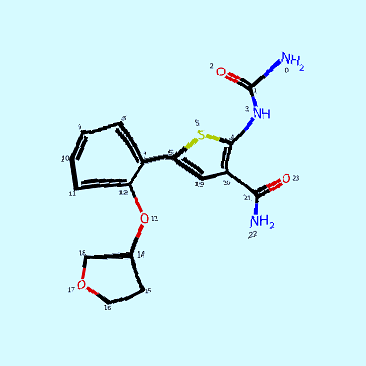 NC(=O)Nc1sc(-c2ccccc2OC2CCOC2)cc1C(N)=O